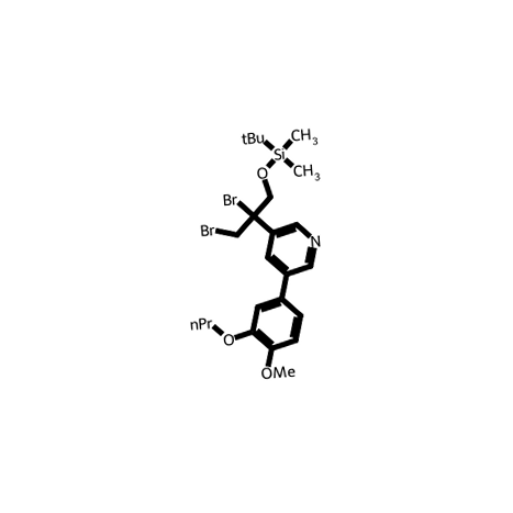 CCCOc1cc(-c2cncc(C(Br)(CBr)CO[Si](C)(C)C(C)(C)C)c2)ccc1OC